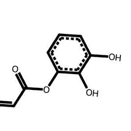 C=CC(=O)Oc1cccc(O)c1O